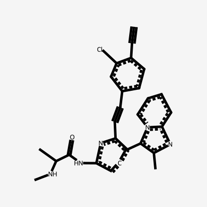 C#Cc1ccc(C#Cc2nc(NC(=O)C(C)NC)ccc2-c2c(C)nc3ccccn23)cc1Cl